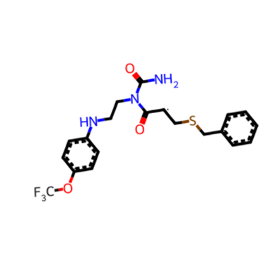 NC(=O)N(CCNc1ccc(OC(F)(F)F)cc1)C(=O)[CH]CSCc1ccccc1